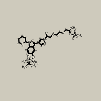 C[C@@H](COCCOCC(F)n1cc(-c2nn(C3CCCCO3)c3ccc(O[Si](C)(C)C(C)(C)C)cc23)cn1)OS(C)(=O)=O